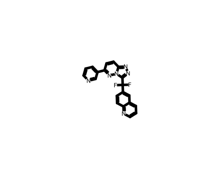 FC(F)(c1ccc2ncccc2c1)c1nnc2ccc(-c3cccnc3)nn12